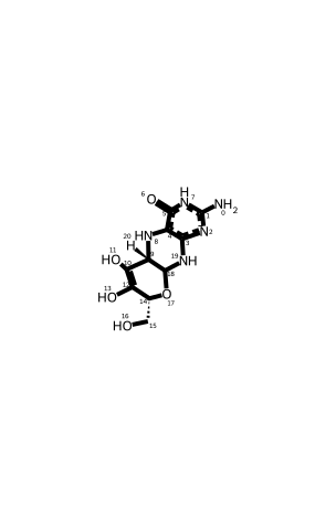 Nc1nc2c(c(=O)[nH]1)N[C@H]1C(O)=C(O)[C@@H](CO)OC1N2